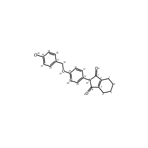 O=C1C2=C(CCCC2)C(=O)N1c1ccc(OCc2ccc(Cl)cc2)nc1